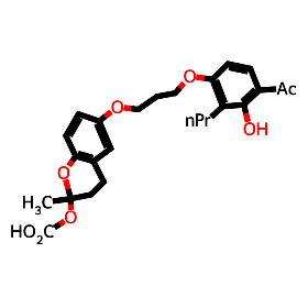 CCCc1c(OCCCOc2ccc3c(c2)CCC(C)(OC(=O)O)O3)ccc(C(C)=O)c1O